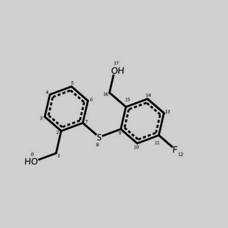 OCc1ccccc1Sc1cc(F)ccc1CO